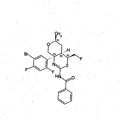 C[C@H]1C[C@H]2[C@@H](CF)SC(NC(=O)c3ccccc3)=N[C@@]2(c2cc(Br)c(F)cc2F)CO1